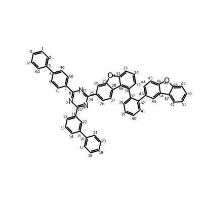 c1ccc(-c2ccc(-c3nc(-c4cccc(-c5ccccc5)c4)nc(-c4ccc5c(c4)oc4cccc(-c6ccccc6-c6ccc7oc8ccccc8c7c6)c45)n3)cc2)cc1